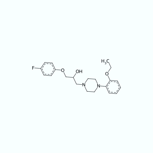 CCOc1ccccc1N1CCN(CC(O)COc2ccc(F)cc2)CC1